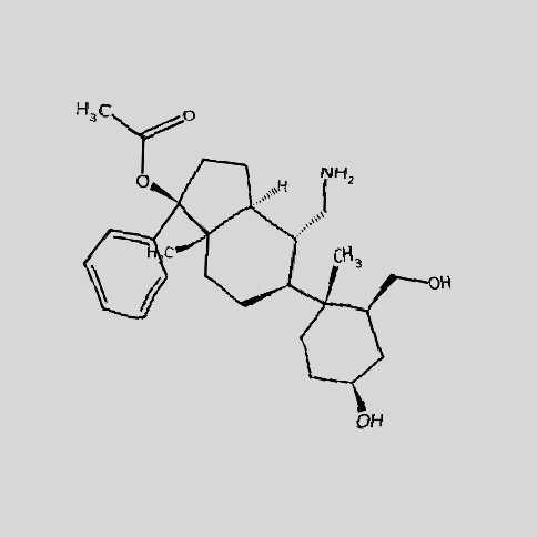 CC(=O)O[C@@]1(c2ccccc2)CC[C@H]2[C@H](CN)[C@@H]([C@@]3(C)CC[C@H](O)C[C@@H]3CO)CC[C@@]21C